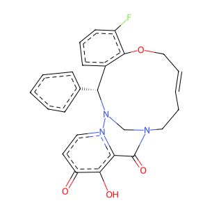 O=C1c2c(O)c(=O)ccn2N2CN1CC/C=C/COc1c(F)cccc1[C@H]2c1ccccc1